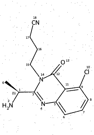 C[C@H](N)c1nc2cccc(Cl)c2c(=O)n1CCCC#N